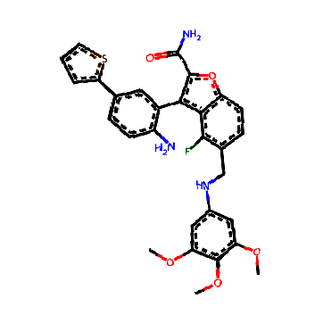 COc1cc(NCc2ccc3oc(C(N)=O)c(-c4cc(-c5cccs5)ccc4N)c3c2F)cc(OC)c1OC